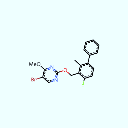 COc1nc(OCc2c(F)ccc(-c3ccccc3)c2C)ncc1Br